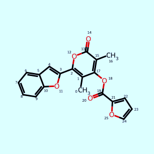 Cc1c(-c2cc3ccccc3o2)oc(=O)c(C)c1OC(=O)c1ccco1